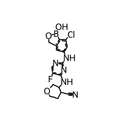 N#CC1CCOCC1Nc1nc(Nc2cc(Cl)c3c(c2)COB3O)ncc1F